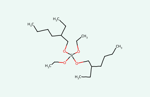 CCCCC(CC)CO[Si](OCC)(OCC)OCC(CC)CCCC